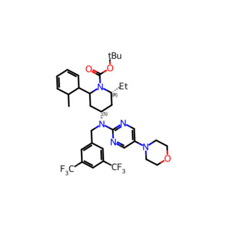 CC[C@@H]1C[C@H](N(Cc2cc(C(F)(F)F)cc(C(F)(F)F)c2)c2ncc(N3CCOCC3)cn2)CC(C2C=CC=CC2C)N1C(=O)OC(C)(C)C